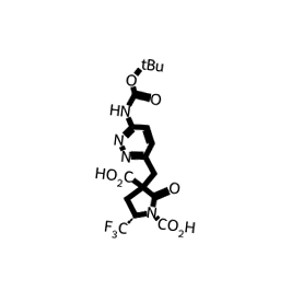 CC(C)(C)OC(=O)Nc1ccc(CC2(C(=O)O)C[C@@H](C(F)(F)F)N(C(=O)O)C2=O)nn1